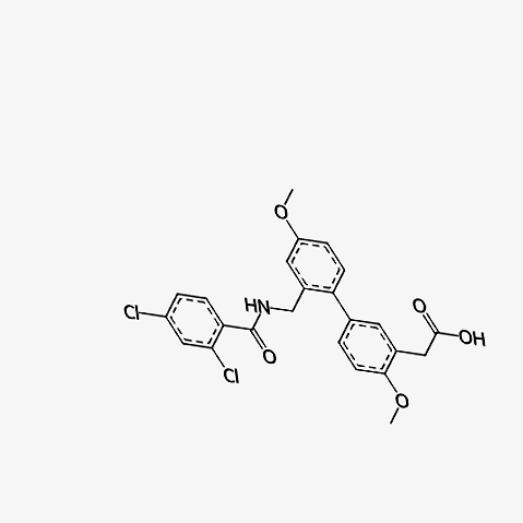 COc1ccc(-c2ccc(OC)c(CC(=O)O)c2)c(CNC(=O)c2ccc(Cl)cc2Cl)c1